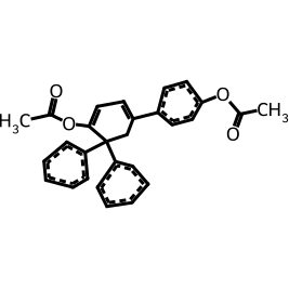 CC(=O)OC1=CC=C(c2ccc(OC(C)=O)cc2)CC1(c1ccccc1)c1ccccc1